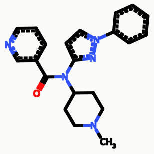 CN1CCC(N(C(=O)c2cccnc2)c2ccn(-c3ccccc3)n2)CC1